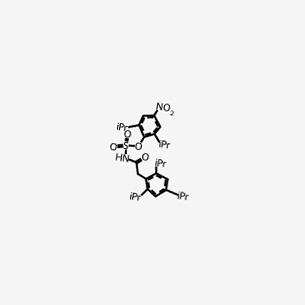 CC(C)c1cc(C(C)C)c(CC(=O)NS(=O)(=O)Oc2c(C(C)C)cc([N+](=O)[O-])cc2C(C)C)c(C(C)C)c1